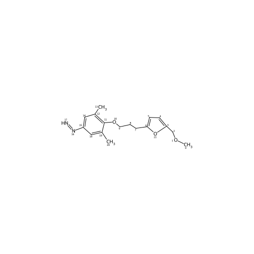 COCc1ccc(CCCOc2c(C)cc(N=N)cc2C)o1